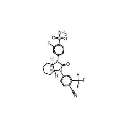 N#Cc1ccc(N2C(=O)N(c3ccc(S(N)(=O)=O)c(F)c3)[C@@H]3CCCC[C@H]32)cc1C(F)(F)F